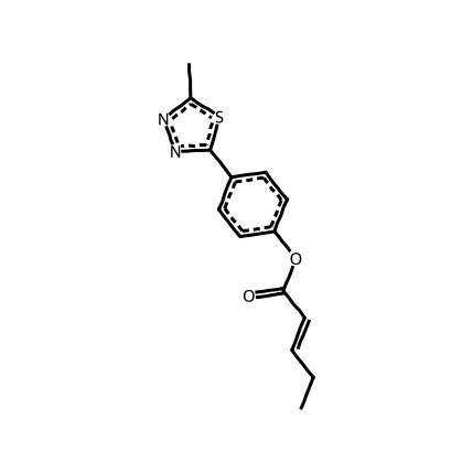 CCC=CC(=O)Oc1ccc(-c2nnc(C)s2)cc1